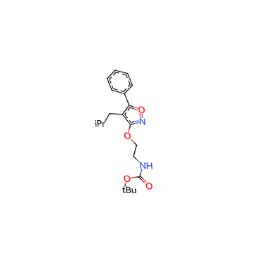 CC(C)Cc1c(OCCNC(=O)OC(C)(C)C)noc1-c1ccccc1